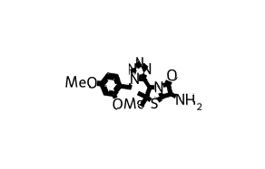 COc1ccc(Cn2nnnc2C2N3C(=O)C(N)C3SC2(C)C)c(OC)c1